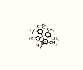 Cc1cc(C)cc([Si](C2=[C]([Ti+3])CC=C2)(c2cc(C)cc(C)c2)c2cc(C)cc(C)c2)c1.[Cl-].[Cl-].[Cl-]